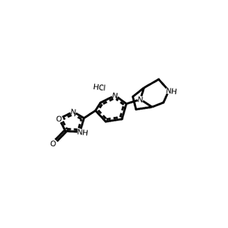 Cl.O=c1[nH]c(-c2ccc(N3C4CCC3CNC4)nc2)no1